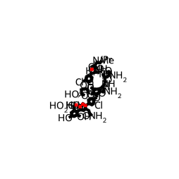 CN[C@H](CC(C)C)C(=O)N[C@H]1C(=O)N[C@@H](CC(N)=O)C(=O)N[C@@H](C(N)=O)c2cc(Oc3ccc(CCC(=O)N[C@H](C(=O)O)c4cc(O)cc(O)c4-c4cc(CC(N)=O)ccc4O)cc3Cl)c(O[C@H]3C[C@@H](O)C[C@@H](CO)O3)c(c2)Oc2ccc(cc2Cl)[C@H]1O